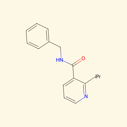 CC(C)c1ncccc1C(=O)NCc1ccccc1